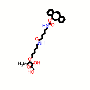 B[C@@H]1O[C@H](CO)C(O)[C@@H]1OCCCCCCNC(=O)CCCCCNC(=O)OC1Cc2ccccc2C#Cc2ccccc21